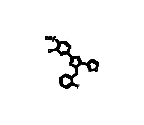 CCOC(=O)c1cnc(-c2cc(-c3ccon3)n(Cc3ccccc3F)n2)nc1Cl